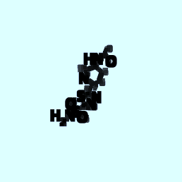 CC(=O)Nc1ccc(-c2nnc(S(N)(=O)=O)s2)nc1